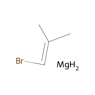 CC(C)=CBr.[MgH2]